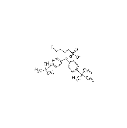 CC(C)(C)c1ccc([I+]c2ccc(C(C)(C)C)cc2)cc1.O=S(=O)([O-])CCCCF